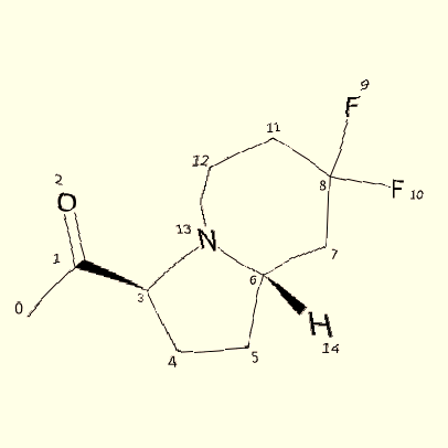 CC(=O)[C@@H]1CC[C@H]2CC(F)(F)CCN21